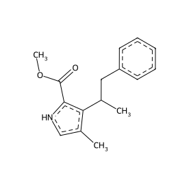 COC(=O)c1[nH]cc(C)c1C(C)Cc1ccccc1